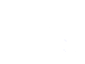 CC=NNc1ccc(OCc2ccccc2)cc1